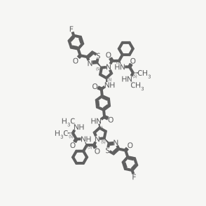 CN[C@@H](C)C(=O)N[C@H](C(=O)N1C[C@@H](NC(=O)c2ccc(C(=O)N[C@H]3C[C@@H](c4nc(C(=O)c5ccc(F)cc5)cs4)N(C(=O)[C@@H](NC(=O)[C@H](C)NC)C4CCCCC4)C3)cc2)C[C@H]1c1nc(C(=O)c2ccc(F)cc2)cs1)C1CCCCC1